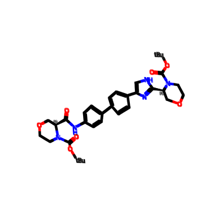 CC(C)(C)OC(=O)N1CCOC[C@H]1C(=O)Nc1ccc(-c2ccc(-c3c[nH]c([C@@H]4COCCN4C(=O)OC(C)(C)C)n3)cc2)cc1